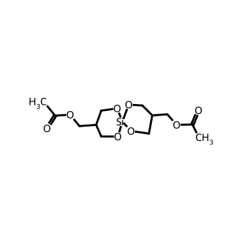 CC(=O)OCC1CO[Si]2(OC1)OCC(COC(C)=O)CO2